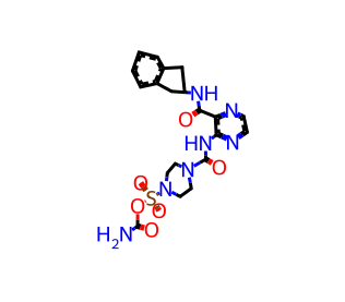 NC(=O)OS(=O)(=O)N1CCN(C(=O)Nc2nccnc2C(=O)NC2Cc3ccccc3C2)CC1